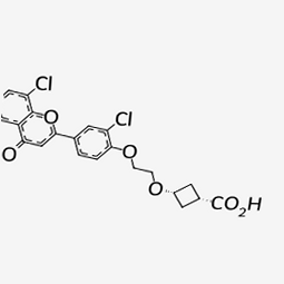 O=c1cc(-c2ccc(OCCO[C@H]3C[C@@H](C(=O)O)C3)c(Cl)c2)oc2c(Cl)cccc12